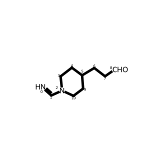 N=CN1CCC(CCC=O)CC1